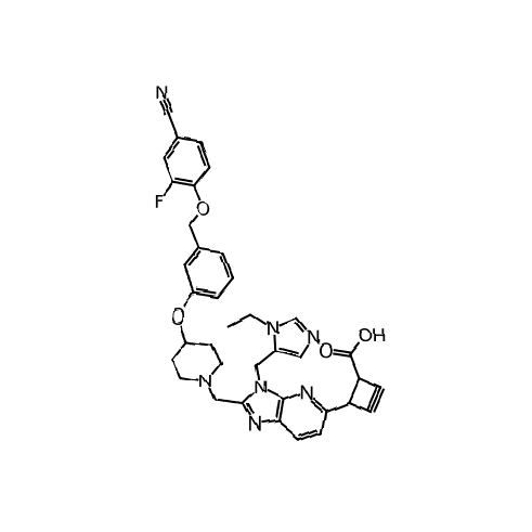 CCn1cncc1Cn1c(CN2CCC(Oc3cccc(COc4ccc(C#N)cc4F)c3)CC2)nc2ccc(C3C#CC3C(=O)O)nc21